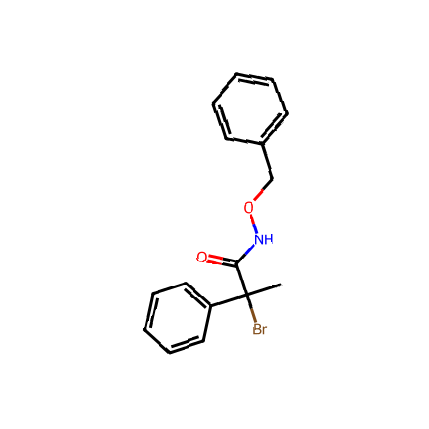 CC(Br)(C(=O)NOCc1ccccc1)c1ccccc1